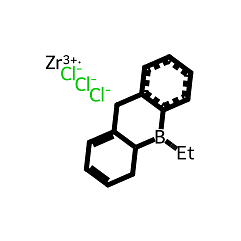 CCB1c2ccccc2CC2=CC=CCC12.[Cl-].[Cl-].[Cl-].[Zr+3]